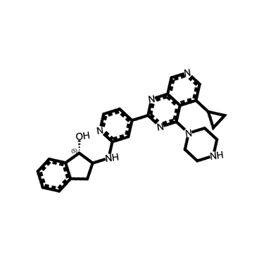 O[C@H]1c2ccccc2CC1Nc1cc(-c2nc(N3CCNCC3)c3c(C4CC4)cncc3n2)ccn1